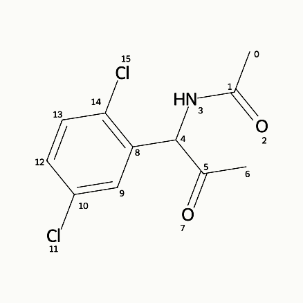 CC(=O)NC(C(C)=O)c1cc(Cl)ccc1Cl